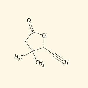 C#CC1OS(=O)CC1(C)C